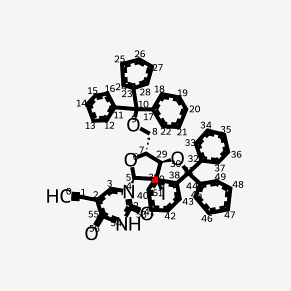 C#Cc1cn([C@@H]2O[C@H](COC(c3ccccc3)(c3ccccc3)c3ccccc3)[C@@H](OC(c3ccccc3)(c3ccccc3)c3ccccc3)[C@H]2I)c(=O)[nH]c1=O